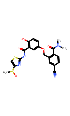 CN(C)C(=O)c1ccc(C#N)cc1COc1ccc(O)c(C(=O)Nc2nc([S+](C)[O-])cs2)c1